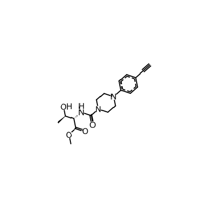 C#Cc1ccc(N2CCN(C(=O)N[C@H](C(=O)OC)[C@@H](C)O)CC2)cc1